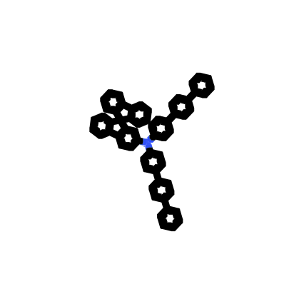 c1ccc(-c2ccc(-c3ccc(N(c4ccc(-c5ccc(-c6ccccc6)cc5)cc4)c4ccc5c(c4)C4(c6ccccc6-c6ccccc64)c4ccccc4-5)cc3)cc2)cc1